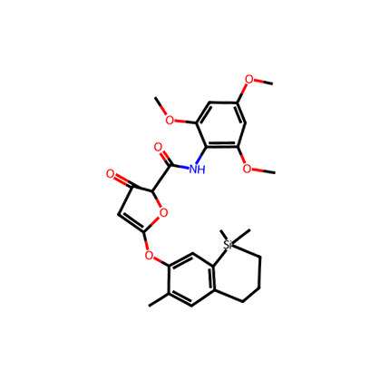 COc1cc(OC)c(NC(=O)C2OC(Oc3cc4c(cc3C)CCC[Si]4(C)C)=CC2=O)c(OC)c1